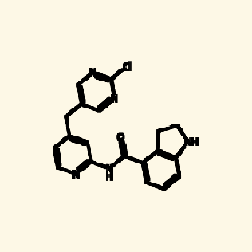 O=C(Nc1cc(Cc2cnc(Cl)nc2)ccn1)c1cccc2c1CCN2